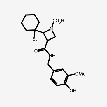 CCC1(C2C(C(=O)NCc3ccc(O)c(OC)c3)CN2C(=O)O)CCCCC1